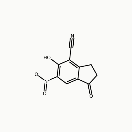 N#Cc1c(O)c([N+](=O)[O-])cc2c1CCC2=O